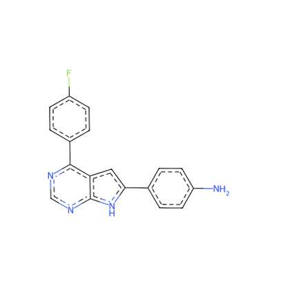 Nc1ccc(-c2cc3c(-c4ccc(F)cc4)ncnc3[nH]2)cc1